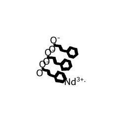 O=C([O-])C=Cc1ccccc1.O=C([O-])C=Cc1ccccc1.O=C([O-])C=Cc1ccccc1.[Nd+3]